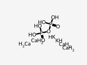 O=P(O)(O)OP(=O)(O)O.[CaH2].[CaH2].[CaH2].[CaH2].[KH].[KH]